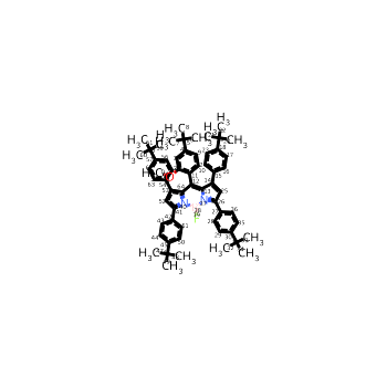 COc1cc(C(C)(C)C)ccc1C1=C2C(c3ccc(C(C)(C)C)cc3)=CC(c3ccc(C(C)(C)C)cc3)=[N+]2B(F)n2c(-c3ccc(C(C)(C)C)cc3)cc(-c3ccc(C(C)(C)C)cc3)c21